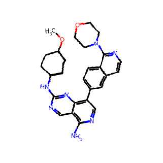 COC1CCC(Nc2ncc3c(N)ncc(-c4ccc5c(N6CCOCC6)nccc5c4)c3n2)CC1